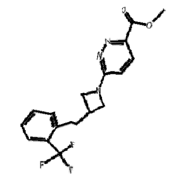 COC(=O)c1ccc(N2CC(Cc3ccccc3C(F)(F)F)C2)nn1